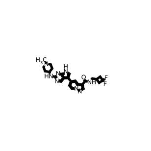 CN1CCC(Nc2ncc3c(-c4ccn5ncc(C(=O)NCC6CC(F)(F)C6)c5c4)c[nH]c3n2)CC1